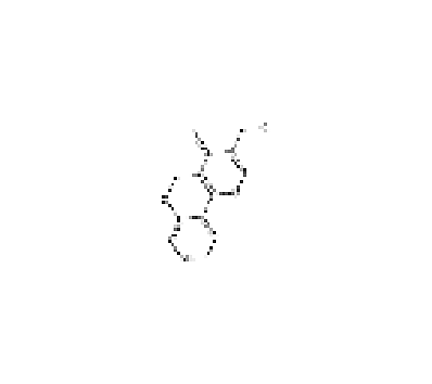 O=c1c(CCl)coc2c1COc1ccccc1-2